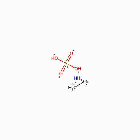 CC#N.N.O=S(=O)(O)O